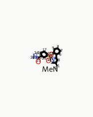 CNCc1cc(-c2ccccc2)n(S(=O)(=O)c2cccc(C(=O)N(C)C)c2)c1